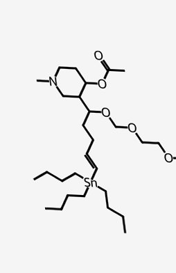 CCC[CH2][Sn](/[CH]=C/CCC(OCOCCOC)C1CN(C)CCC1OC(C)=O)([CH2]CCC)[CH2]CCC